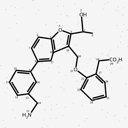 CC(O)c1oc2ccc(-c3cccc(CN)c3)cc2c1COc1ccccc1CC(=O)O